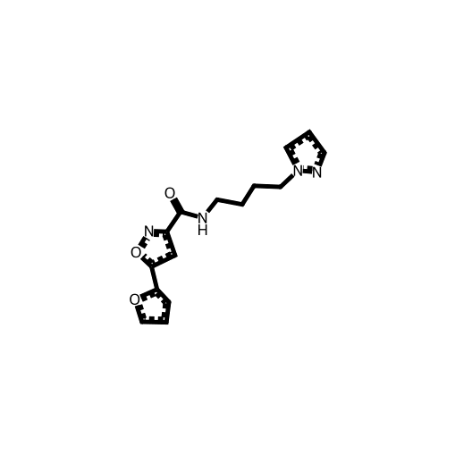 O=C(NCCCCn1cccn1)c1cc(-c2ccco2)on1